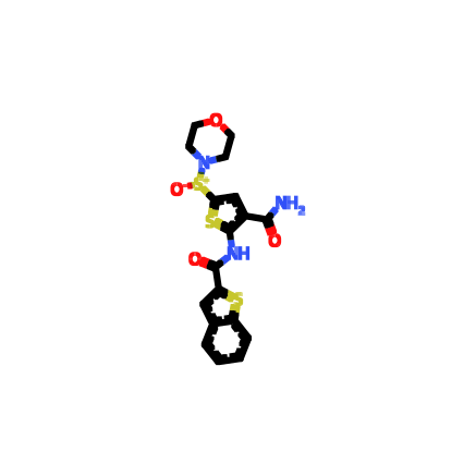 NC(=O)c1cc([S+]([O-])N2CCOCC2)sc1NC(=O)c1cc2ccccc2s1